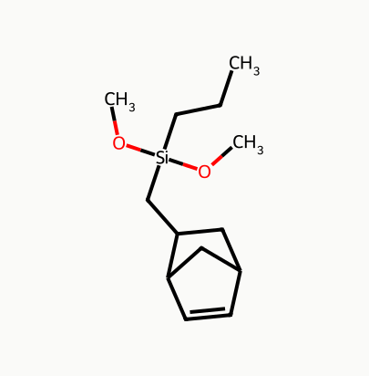 CCC[Si](CC1CC2C=CC1C2)(OC)OC